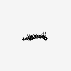 COC(=O)C(Cc1cc(C)c2nn(COCC[Si](C)(C)C)cc2c1)OC(=O)N1CCC(c2cc3ccccc3[nH]c2=O)CC1